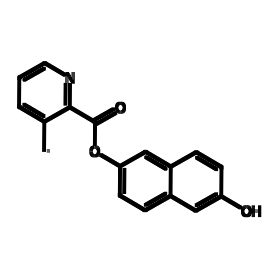 [CH2]c1cccnc1C(=O)Oc1ccc2cc(O)ccc2c1